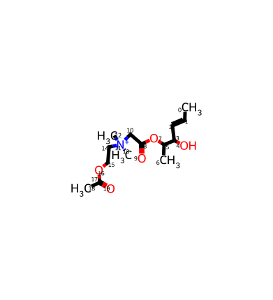 CC=CC(O)C(C)OC(=O)C[N+](C)(C)CCOC(C)=O